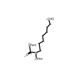 CCCCCCN(CCCCCCCC=O)C(=O)CCCCC